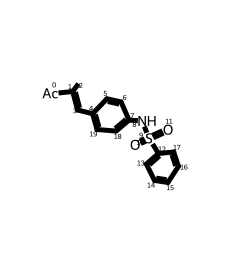 CC(=O)/C(C)=C/c1ccc(NS(=O)(=O)c2ccccc2)cc1